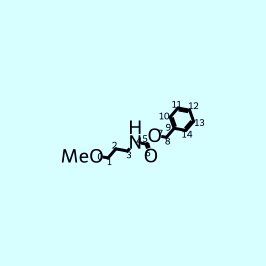 COCCCNC(=O)OCc1ccccc1